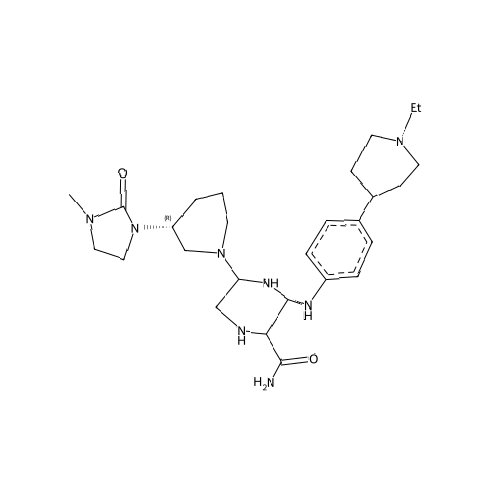 CCN1CCC(c2ccc(NC3NC(N4CCC[C@@H](N5CCN(C)C5=O)C4)CNC3C(N)=O)cc2)CC1